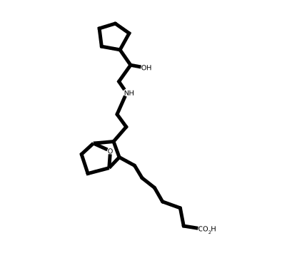 O=C(O)CCCCCCC1C2CCC(O2)C1CCNCC(O)C1CCCC1